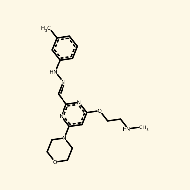 CNCCOc1cc(N2CCOCC2)nc(/C=N/Nc2cccc(C)c2)n1